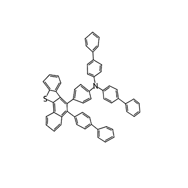 c1ccc(-c2ccc(-c3c(-c4ccc(N(c5ccc(-c6ccccc6)cc5)c5ccc(-c6ccccc6)cc5)cc4)c4c5ccccc5sc4c4ccccc34)cc2)cc1